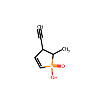 C#CC1C=CP(=O)(O)C1C